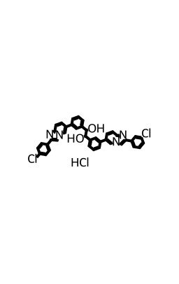 Cl.OC(c1cccc(-c2ccc3nc(-c4ccc(Cl)cc4)cn3c2)c1)C(O)c1cccc(-c2ccc3nc(-c4cccc(Cl)c4)cn3c2)c1